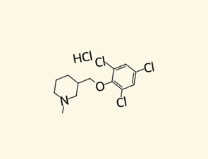 CN1CCCC(COc2c(Cl)cc(Cl)cc2Cl)C1.Cl